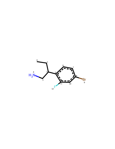 CCC(CN)c1ccc(Br)cc1F